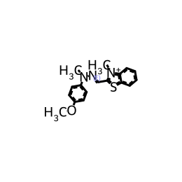 COc1ccc(N(C)/N=C/c2sc3ccccc3[n+]2C)cc1